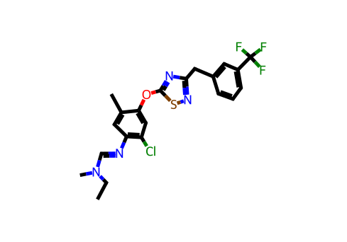 CCN(C)C=Nc1cc(C)c(Oc2nc(Cc3cccc(C(F)(F)F)c3)ns2)cc1Cl